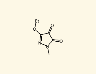 CCOC1=NN(C)C(=O)C1=O